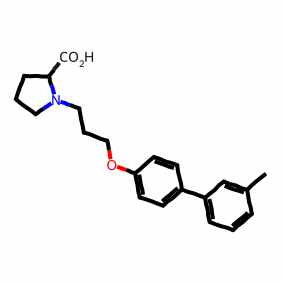 Cc1cccc(-c2ccc(OCCCN3CCCC3C(=O)O)cc2)c1